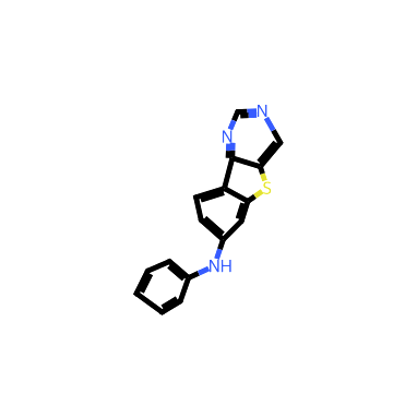 c1ccc(Nc2ccc3c(c2)sc2cncnc23)cc1